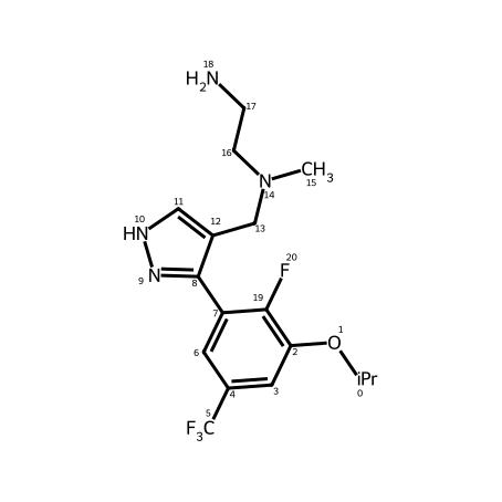 CC(C)Oc1cc(C(F)(F)F)cc(-c2n[nH]cc2CN(C)CCN)c1F